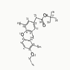 CCOc1ccc(Oc2c(I)cc(CC(=O)OC(C)(C)C)cc2I)cc1I